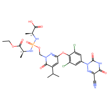 CCOC(=O)[C@H](C)NP(=O)(N[C@@H](C)C(=O)O)OCn1nc(Oc2c(Cl)cc(-n3nc(C#N)c(=O)[nH]c3=O)cc2Cl)cc(C(C)C)c1=O